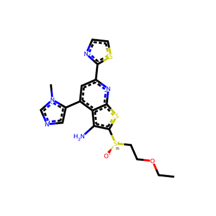 CCOCC[S@@+]([O-])c1sc2nc(-c3nccs3)cc(-c3cncn3C)c2c1N